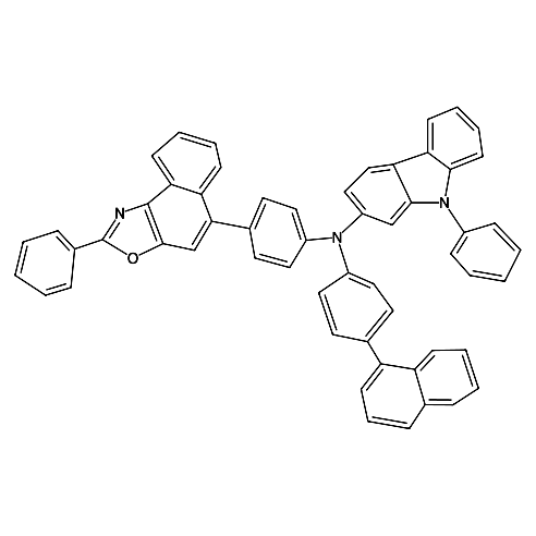 c1ccc(-c2nc3c(cc(-c4ccc(N(c5ccc(-c6cccc7ccccc67)cc5)c5ccc6c7ccccc7n(-c7ccccc7)c6c5)cc4)c4ccccc43)o2)cc1